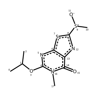 CC(C)Oc1nc2sc([S+](C)[O-])nc2c(=O)n1C